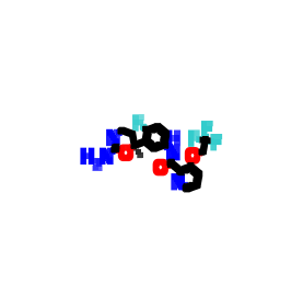 C[C@@]1(c2cc(NC(=O)c3ncccc3OCC(F)(F)F)ccc2F)CCN=C(N)O1